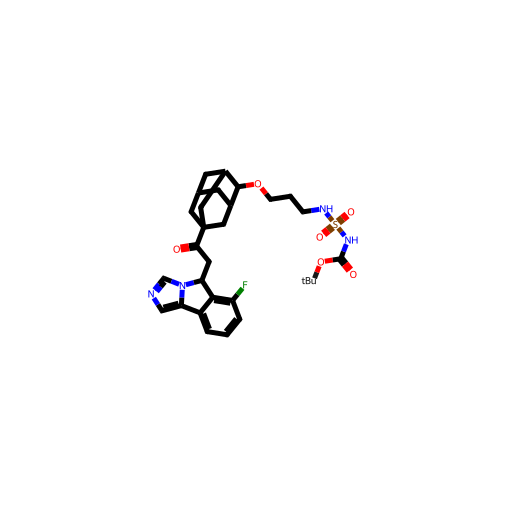 CC(C)(C)OC(=O)NS(=O)(=O)NCCCOC1C2CC3CC1CC(C(=O)CC1c4c(F)cccc4-c4cncn41)(C3)C2